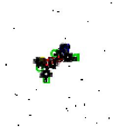 Clc1ccc(CC(Cl)(OC2CCCC(COC(c3ccc(Cl)cc3)C(Cl)n3ccnc3)O2)c2cccs2)cc1